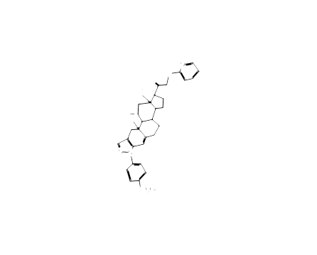 COc1ccc(-n2ncc3c2C=C2CCC4C([C@@H](O)CC5(C)C4CC[C@]5(O)C(=O)CSc4ccccn4)C2(C)C3)cc1